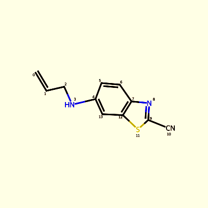 C=CCNc1ccc2nc(C#N)sc2c1